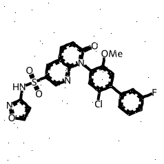 COc1cc(-c2cccc(F)c2)c(Cl)cc1-n1c(=O)ccc2cc(S(=O)(=O)Nc3ccon3)cnc21